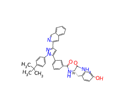 CC(C)(C)c1ccc(-n2nc(-c3cc4ccccc4cn3)cc2-c2cccc(C(=O)N[C@@H](Cc3ccc(O)cc3)C(N)=O)c2)cc1